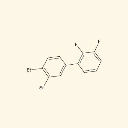 CCc1ccc(-c2[c]ccc(F)c2F)cc1CC